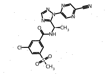 C[C@@H](NC(=O)c1cc(Cl)cc(S(C)(=O)=O)c1)c1ncnn1-c1cnc(C#N)cn1